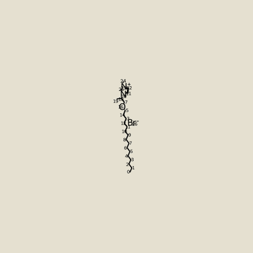 CCCCCCCCCCCCCCCCOCC(C)n1cc[n+](C)c1.[Br-]